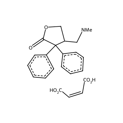 CNCC1COC(=O)C1(c1ccccc1)c1ccccc1.O=C(O)/C=C\C(=O)O